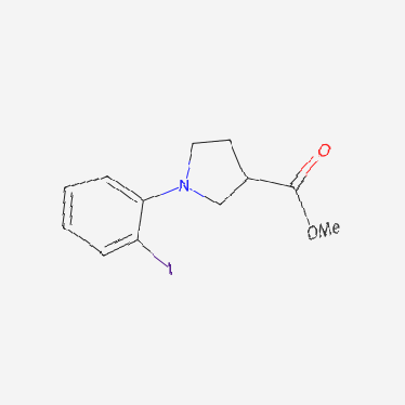 COC(=O)C1CCN(c2ccccc2I)C1